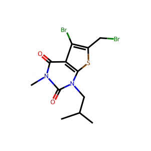 CC(C)Cn1c(=O)n(C)c(=O)c2c(Br)c(CBr)sc21